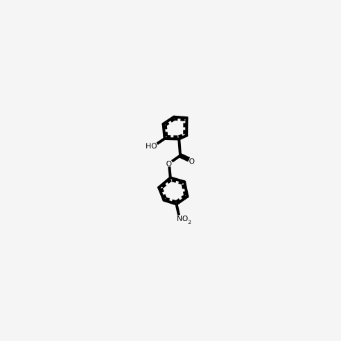 O=C(Oc1ccc([N+](=O)[O-])cc1)c1ccccc1O